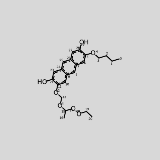 CCCCOc1cc2cc3cc(OCOC(C)OOCC)c(O)cc3cc2cc1O